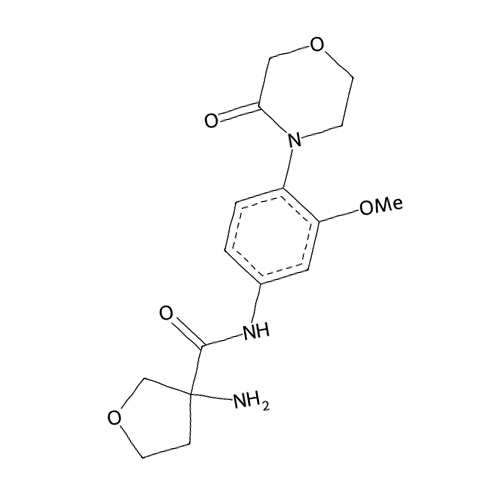 COc1cc(NC(=O)C2(N)CCOC2)ccc1N1CCOCC1=O